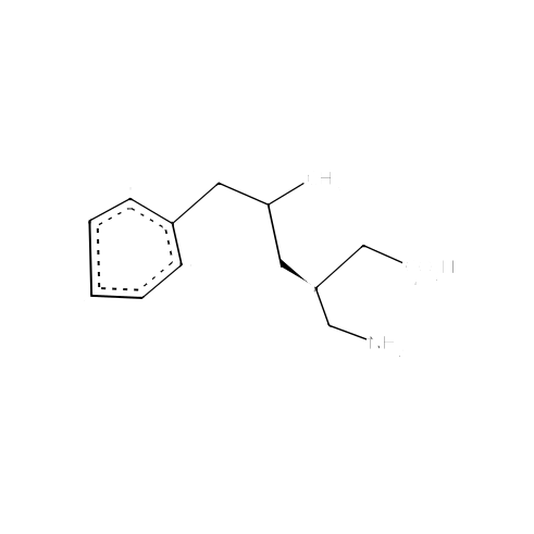 CC(Cc1ccccc1)C[C@H](CN)CC(=O)O